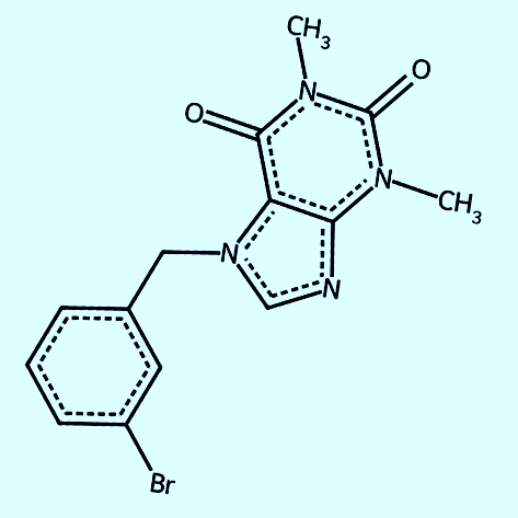 Cn1c(=O)c2c(ncn2Cc2cccc(Br)c2)n(C)c1=O